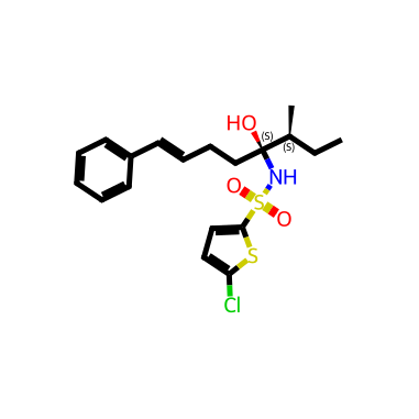 CC[C@H](C)[C@@](O)(CCC=Cc1ccccc1)NS(=O)(=O)c1ccc(Cl)s1